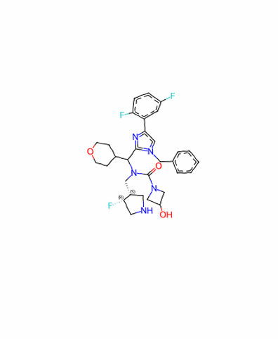 O=C(N1CC(O)C1)N(C[C@@H]1CNC[C@@H]1F)C(c1nc(-c2cc(F)ccc2F)cn1Cc1ccccc1)C1CCOCC1